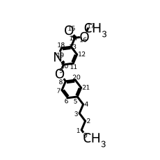 CCCCCc1ccc(Oc2ccc(C(=O)OC)cn2)cc1